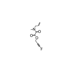 C=CCN(C)C(=O)C(=O)OCC#CF